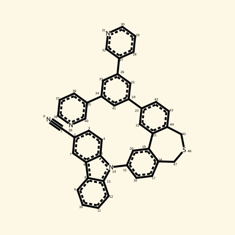 N#Cc1ccc2c(c1)c1ccccc1n2-c1ccc2c(c1)-c1cc(-c3cc(-c4cccnc4)cc(-c4cccnc4)c3)ccc1CSC2